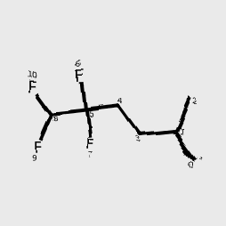 [CH2]C(C)CCC(F)(F)[C](F)F